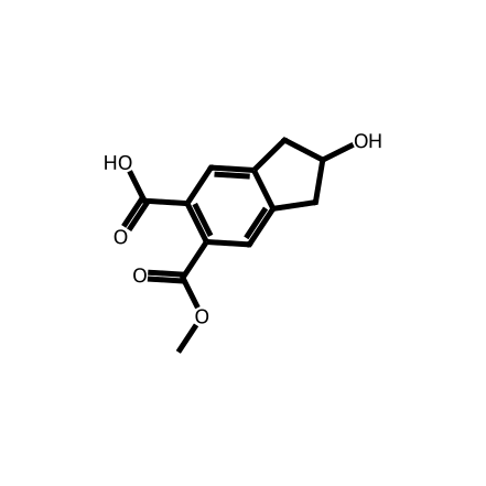 COC(=O)c1cc2c(cc1C(=O)O)CC(O)C2